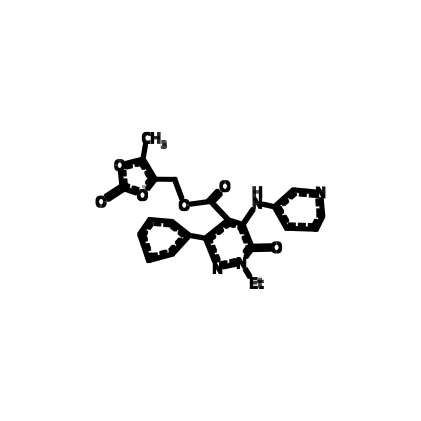 CCn1nc(-c2ccccc2)c(C(=O)OCc2oc(=O)oc2C)c(Nc2cccnc2)c1=O